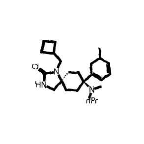 CCCN(C)[C@]1(C2=CC=CC(C)C2)CC[C@]2(CC1)CNC(=O)N2CC1CCC1